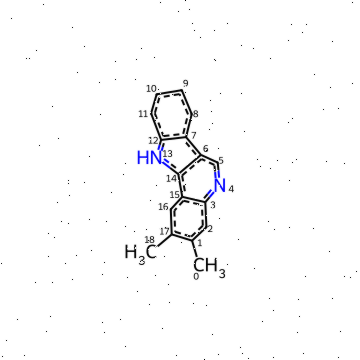 Cc1cc2ncc3c4ccccc4[nH]c3c2cc1C